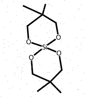 CC1(C)CO[Si]2(OC1)OCC(C)(C)CO2